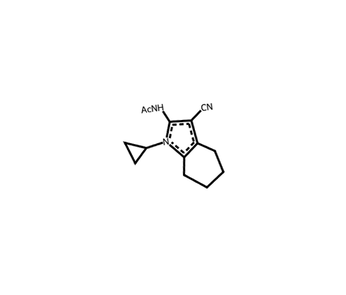 CC(=O)Nc1c(C#N)c2c(n1C1CC1)CCCC2